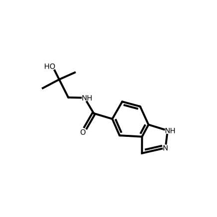 CC(C)(O)CNC(=O)c1ccc2[nH]ncc2c1